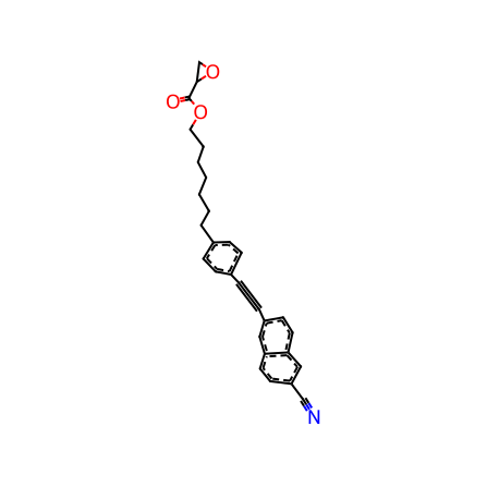 N#Cc1ccc2cc(C#Cc3ccc(CCCCCCCOC(=O)C4CO4)cc3)ccc2c1